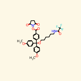 COc1ccc(C(OCCCCCCNC(=O)C(F)(F)F)(c2ccc(OC)cc2)c2ccc(C(=O)ON3C(=O)CCC3=O)cc2)cc1